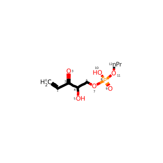 C=CC(=O)C(O)COP(=O)(O)OCCC